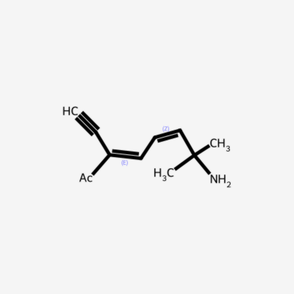 C#C/C(=C\C=C/C(C)(C)N)C(C)=O